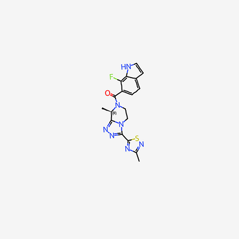 Cc1nsc(-c2nnc3n2CCN(C(=O)c2ccc4cc[nH]c4c2F)[C@@H]3C)n1